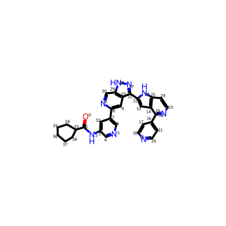 O=C(Nc1cncc(-c2cc3c(-c4cc5c(-c6ccncc6)nccc5[nH]4)n[nH]c3cn2)c1)C1CCCCC1